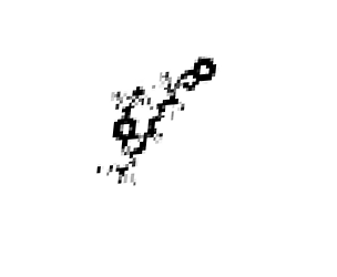 CC(C)NCCN(C(=O)CNCC(=O)N(C)N1Cc2ccccc2C1)c1cc(C(=O)OC(C)(C)C)ccc1Cl